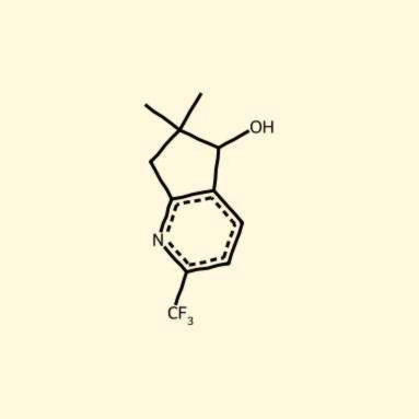 CC1(C)Cc2nc(C(F)(F)F)ccc2C1O